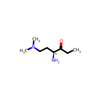 CCC(=O)[C@@H](N)CCN(C)C